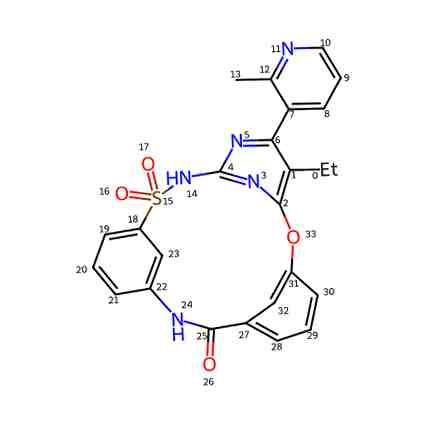 CCc1c2nc(nc1-c1cccnc1C)NS(=O)(=O)c1cccc(c1)NC(=O)c1cccc(c1)O2